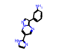 Nc1cccc(-c2cnn3cc(-c4ncc[nH]4)cnc23)c1